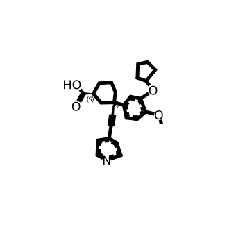 COc1ccc([C@@]2(C#Cc3ccncc3)CCC[C@H](C(=O)O)C2)cc1OC1CCCC1